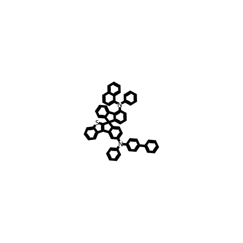 c1ccc(-c2ccc(N(c3ccccc3)c3ccc4c(c3)-c3c(sc5ccccc35)C43c4ccccc4-c4c(N(c5ccccc5)c5cccc6ccccc56)cccc43)cc2)cc1